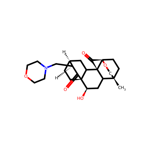 C[C@]12CC[C@@]3(OC1)C(=O)[C@]31C2C[C@@H](O)[C@@]23CC[C@@H](CC12)[C@H](CN1CCOCC1)C3=O